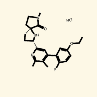 CCOc1ccc(F)c(-c2cc([C@@H]3CC[C@@]4(CCN(C)C4=O)N3)nc(C)c2C)c1.Cl